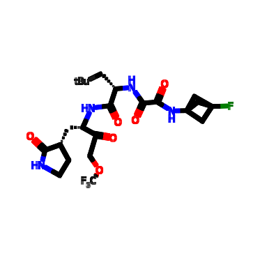 CC(C)(C)C[C@H](NC(=O)C(=O)NC12CC(F)(C1)C2)C(=O)N[C@@H](C[C@@H]1CCNC1=O)C(=O)COC(F)(F)F